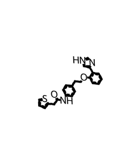 O=C(Cc1cccs1)Nc1ccc(CCOc2ccccc2-c2c[nH]cn2)cc1